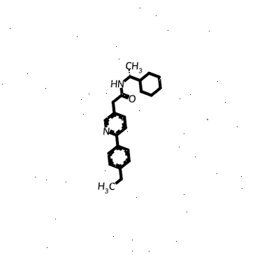 CCc1ccc(-c2ccc(CC(=O)N[C@H](C)C3CCCCC3)cn2)cc1